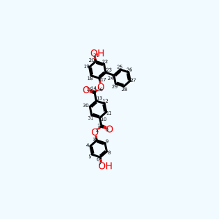 O=C(Oc1ccc(O)cc1)c1ccc(C(=O)Oc2ccc(O)cc2-c2ccccc2)cc1